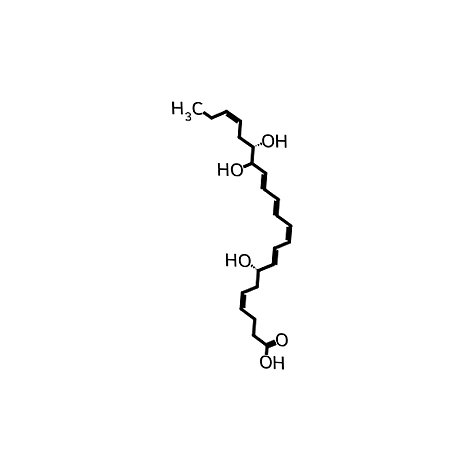 CC/C=C\C[C@H](O)C(O)/C=C/C=C/C=C\C=C\[C@@H](O)C/C=C\CCC(=O)O